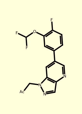 CC(=O)Cn1ncc2ncc(-c3ccc(F)c(OC(F)F)c3)cc21